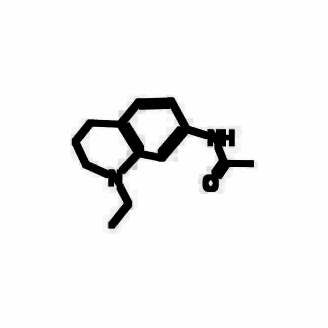 CCN1CCCc2ccc(NC(C)=O)cc21